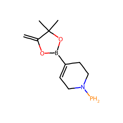 C=C1OB(C2=CCN(P)CC2)OC1(C)C